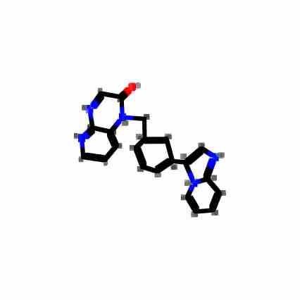 O=c1cnc2ncccc2n1Cc1cccc(-c2cnc3ccccn23)c1